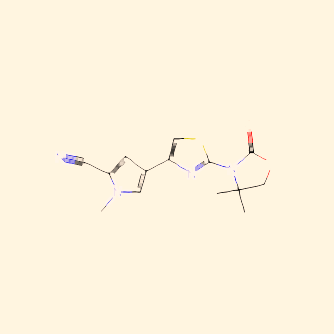 Cn1cc(-c2csc(N3C(=O)OCC3(C)C)n2)cc1C#N